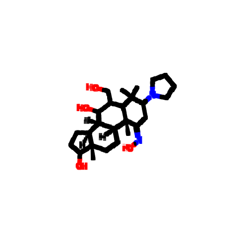 CC1(C)C(N2CCCC2)C/C(=N/O)[C@@]2(C)C1C(CO)C(O)[C@@H]1[C@H]2CC[C@]2(C)C(O)CC[C@@H]12